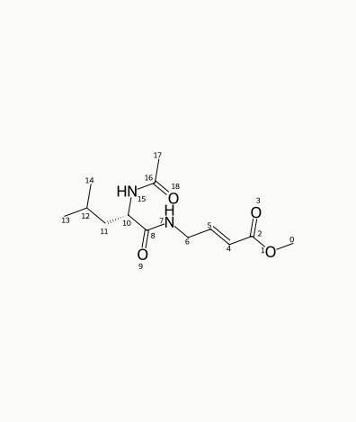 COC(=O)/C=C/CNC(=O)[C@H](CC(C)C)NC(C)=O